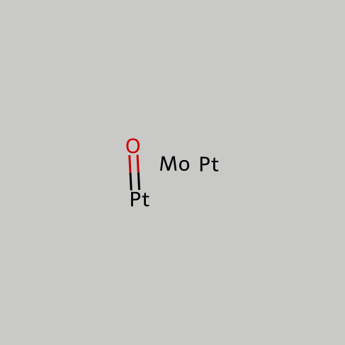 [Mo].[O]=[Pt].[Pt]